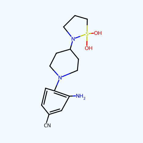 N#Cc1ccc(N2CCC(N3CCCS3(O)O)CC2)c(N)c1